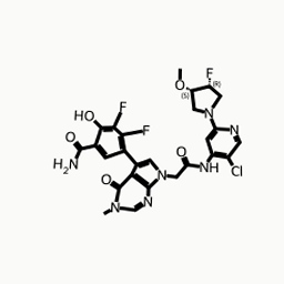 CO[C@H]1CN(c2cc(NC(=O)Cn3cc(-c4cc(C(N)=O)c(O)c(F)c4F)c4c(=O)n(C)cnc43)c(Cl)cn2)C[C@H]1F